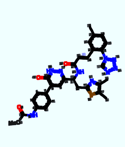 COC(=O)Nc1ccc(-c2cc([C@H](Cc3nc(C)c(C)s3)NC(=O)/C=C/c3cc(C)ccc3-n3cnnn3)n[nH]c2=O)cc1